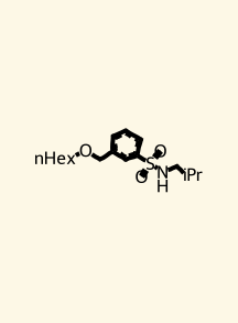 CCCCCCOCc1cccc(S(=O)(=O)NCC(C)C)c1